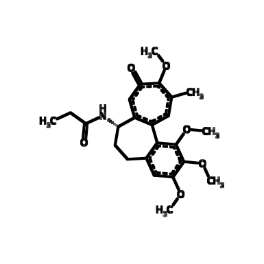 CCC(=O)N[C@H]1CCc2cc(OC)c(OC)c(OC)c2-c2cc(C)c(OC)c(=O)cc21